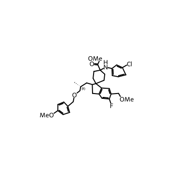 COCc1cc2c(cc1F)CC(C[C@@H](C)COCc1ccc(OC)cc1)C21CCC(Nc2cccc(Cl)c2)(C(=O)OC)CC1